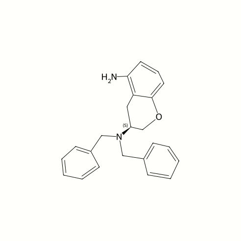 Nc1cccc2c1C[C@H](N(Cc1ccccc1)Cc1ccccc1)CO2